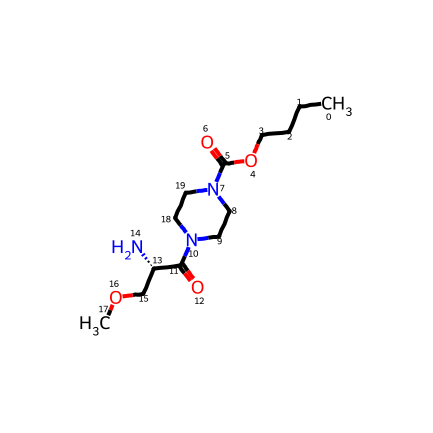 CCCCOC(=O)N1CCN(C(=O)[C@@H](N)COC)CC1